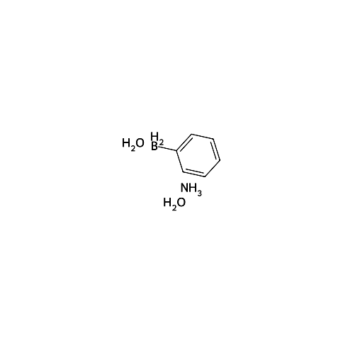 Bc1ccccc1.N.O.O